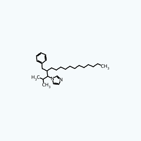 CCCCCCCCCCCCC(Cc1ccccc1)C(C(C)C)n1ccnc1